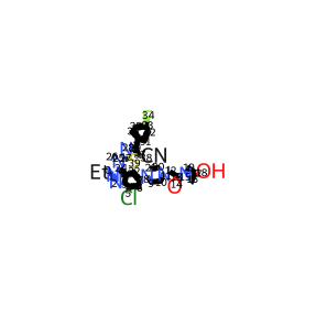 CCn1nc2c(Cl)cc(N3CCN(CC(=O)N4CC(O)C4)CC3)cc2c1N(C)c1nc(-c2ccc(F)cc2)c(C#N)s1